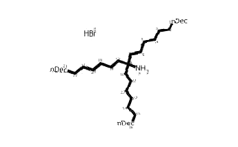 Br.CCCCCCCCCCCCCCCCC(N)(CCCCCCCCCCCCCCCC)CCCCCCCCCCCCCCCC